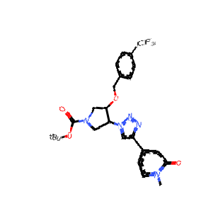 Cn1ccc(-c2cn(C3CN(C(=O)OC(C)(C)C)CC3OCc3ccc(C(F)(F)F)cc3)nn2)cc1=O